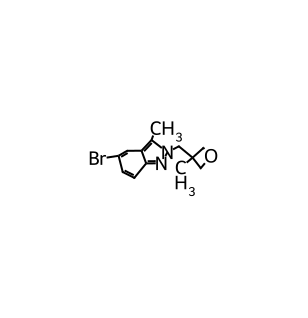 Cc1c2cc(Br)ccc2nn1CC1(C)COC1